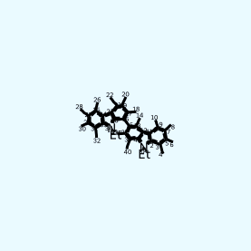 CCn1c2c(C)c(C)c(C)c(C)c2c2c(C)c(-c3c(C)c(C)c(C)c4c5c(C)c(C)c(C)c(C)c5n(CC)c34)c(C)c(C)c21